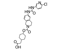 O=C(O)CC1CCC(OC(=O)N2CCc3cc(NC(=O)Nc4ccc(Cl)nc4)ccc3C2)CC1